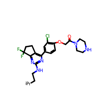 CC(C)CCNc1nc(-c2ccc(OCC(=O)N3CCNCC3)c(Cl)c2)c2c(n1)C(F)(F)CC2